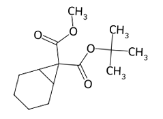 COC(=O)C1(C(=O)OC(C)(C)C)C2CCCCC21